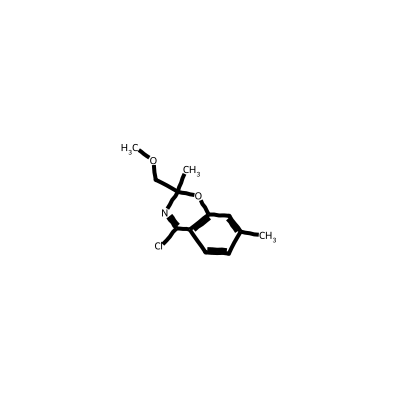 COCC1(C)N=C(Cl)c2ccc(C)cc2O1